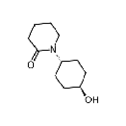 O=C1CCCCN1[C@H]1CC[C@H](O)CC1